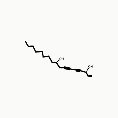 C=C[C@H](O)C#CC#CC[C@H](O)CCCCCCCC